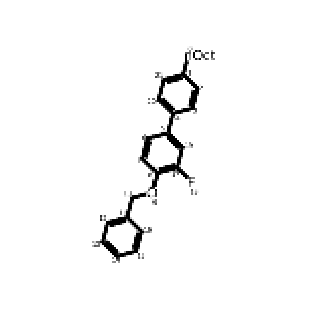 CCCCCCCCc1ccc(-c2ccc(OCc3ccccc3)c(F)c2)cc1